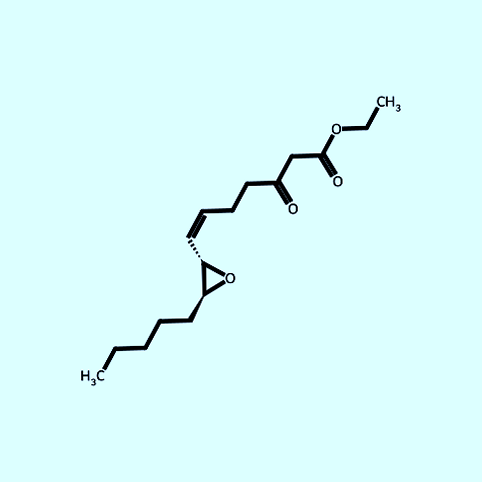 CCCCC[C@@H]1O[C@H]1/C=C\CCC(=O)CC(=O)OCC